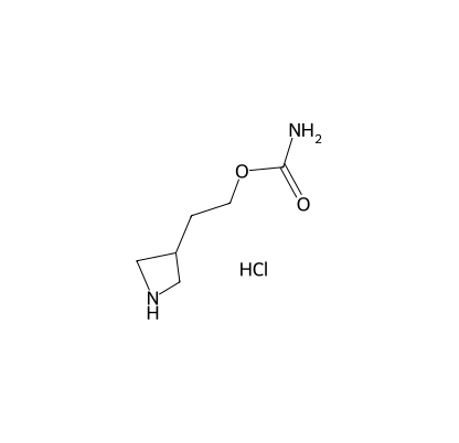 Cl.NC(=O)OCCC1CNC1